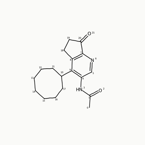 CC(=O)Nc1cnc2c(c1C1CCCCCCC1)CCC2=O